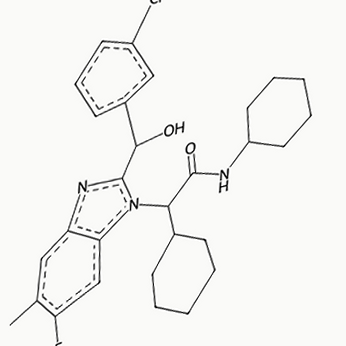 O=C(NC1CCCCC1)C(C1CCCCC1)n1c(C(O)c2cccc(Cl)c2)nc2cc(F)c(F)cc21